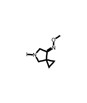 CO/N=C1\CN(I)CC12CC2